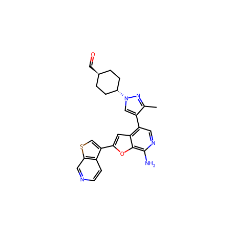 Cc1nn([C@H]2CC[C@H](C=O)CC2)cc1-c1cnc(N)c2oc(-c3csc4cnccc34)cc12